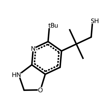 CC(C)(C)c1nc2c(cc1C(C)(C)CS)OCN2